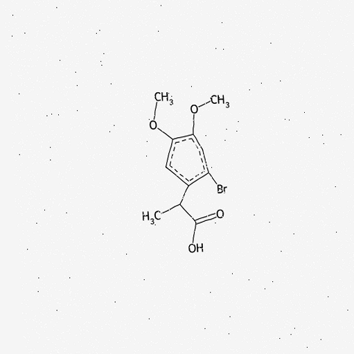 COc1cc(Br)c(C(C)C(=O)O)cc1OC